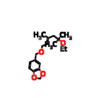 CCOC(C)(C)C/C(C)=C/COCc1ccc2c(c1)OCO2